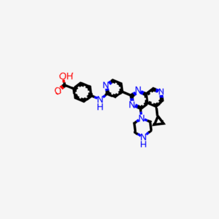 O=C(O)c1ccc(Nc2cc(-c3nc(N4CCNCC4)c4c(C5CC5)cncc4n3)ccn2)cc1